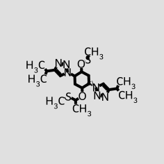 CSOC1C[C@H](n2cc(C(C)C)nn2)C(OC(C)SC)CC1n1cc(C(C)C)nn1